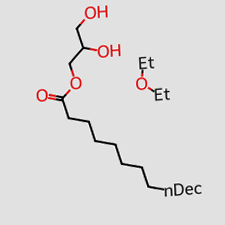 CCCCCCCCCCCCCCCCCC(=O)OCC(O)CO.CCOCC